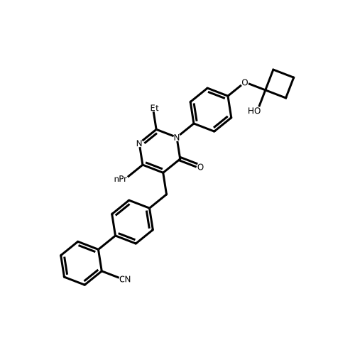 CCCc1nc(CC)n(-c2ccc(OC3(O)CCC3)cc2)c(=O)c1Cc1ccc(-c2ccccc2C#N)cc1